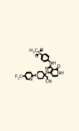 CS(=O)(=O)c1ccc(Nc2nn(C3(CC#N)CCN(c4ccc(C(F)(F)F)cn4)CC3)c3cc[nH]c(=O)c23)cc1